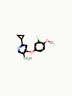 O=C(O)c1cnc(C2CC2)cc1Oc1ccc(OC(F)(F)F)c(F)c1